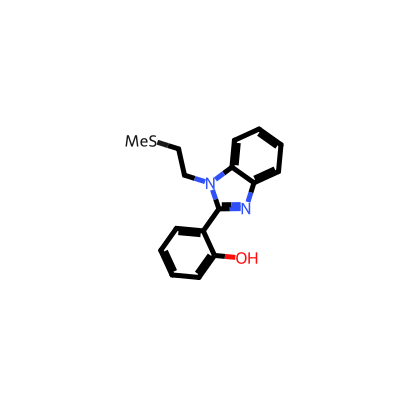 CSCCn1c(-c2ccccc2O)nc2ccccc21